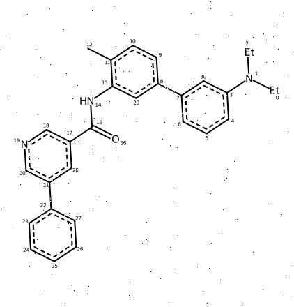 CCN(CC)c1cccc(-c2ccc(C)c(NC(=O)c3cncc(-c4ccccc4)c3)c2)c1